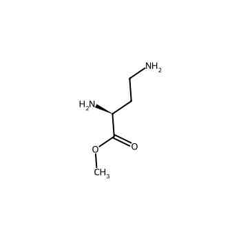 COC(=O)[C@@H](N)CCN